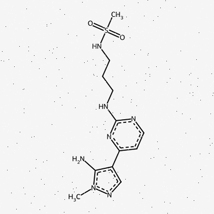 Cn1ncc(-c2ccnc(NCCCNS(C)(=O)=O)n2)c1N